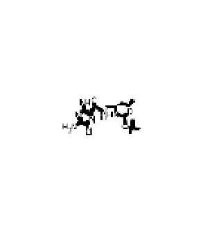 CCC[C@H](CNC(=O)c1nc(Cl)c(N)nc1N)NC(=O)OC(C)(C)C